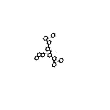 CC1(C)C2C=C(C3=CC4C5=C(CCCC5)N(C5CC=CCC5)C4C=C3)C=CC2N(C2=CC3=C(CC2)C2=C(C=CCC2)CC3)C2C=CC(C3C=c4c5c(n(C6=CCCCC6)c4=CC3)CCCC5)=CC21